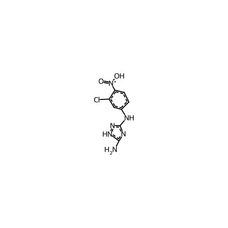 Nc1nc(Nc2ccc([N+](=O)O)c(Cl)c2)n[nH]1